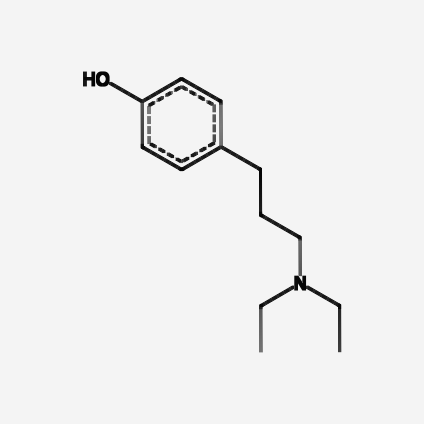 CCN(CC)CCCc1ccc(O)cc1